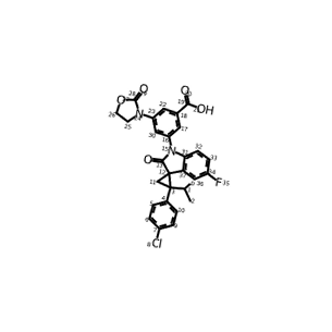 CC(C)C1(c2ccc(Cl)cc2)CC12C(=O)N(c1cc(C(=O)O)cc(N3CCOC3=O)c1)c1ccc(F)cc12